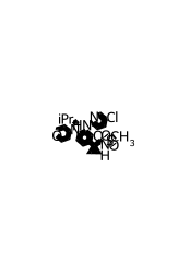 CC(C)CN(c1ccc(C2(C(=O)NS(C)(=O)=O)CC2)cc1Nc1ccc(Cl)cn1)C1CCOCC1